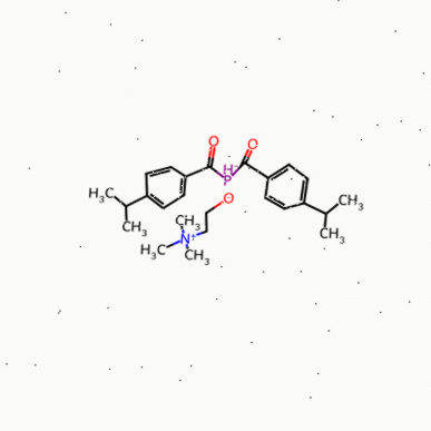 CC(C)c1ccc(C(=O)[PH-](OCC[N+](C)(C)C)C(=O)c2ccc(C(C)C)cc2)cc1